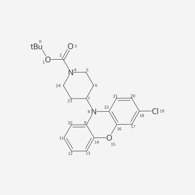 CC(C)(C)OC(=O)N1CCC(N2c3ccccc3Oc3cc(Cl)ccc32)CC1